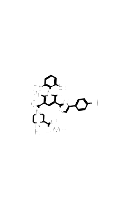 CCc1cccc(CC)c1-n1c(C(C)C)c(C(=O)N2CCNC(C(=O)OC)C2)cc(-c2nc(-c3ccc(Cl)cc3)cs2)c1=O